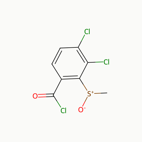 C[S+]([O-])c1c(C(=O)Cl)ccc(Cl)c1Cl